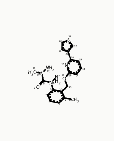 Cc1cccc(N(N)C(=O)N(C)N)c1COc1cccc(-c2ccsc2)n1